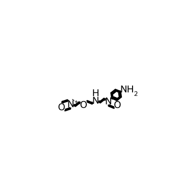 C[N+]1(CCOCCNCCN2CCOc3cc(N)ccc32)CCOCC1